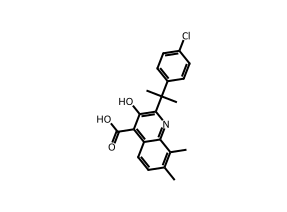 Cc1ccc2c(C(=O)O)c(O)c(C(C)(C)c3ccc(Cl)cc3)nc2c1C